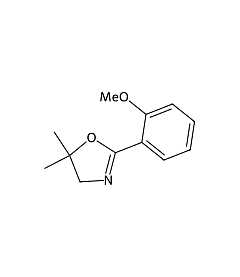 COc1ccccc1C1=NCC(C)(C)O1